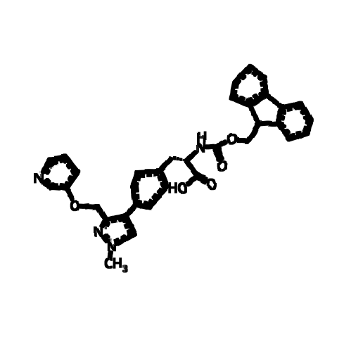 Cn1cc(-c2ccc(C[C@H](NC(=O)OCC3c4ccccc4-c4ccccc43)C(=O)O)cc2)c(COc2cccnc2)n1